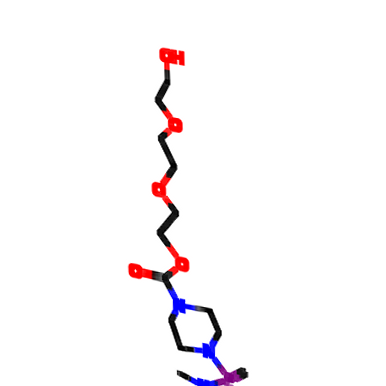 C=P(OC)(N(C)C)N1CCN(C(=O)OCCOCCOCCO)CC1